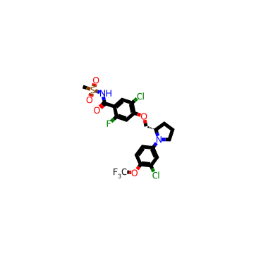 CS(=O)(=O)NC(=O)c1cc(Cl)c(OC[C@@H]2CCCN2c2ccc(OC(F)(F)F)c(Cl)c2)cc1F